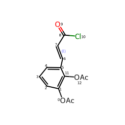 CC(=O)Oc1cccc(/C=C/C(=O)Cl)c1OC(C)=O